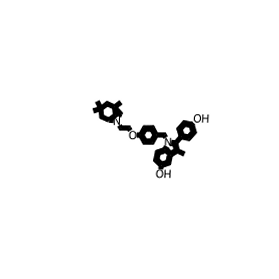 Cc1c(-c2ccc(O)cc2)n(Cc2ccc(OCCN3CC4(C)CC3CC(C)(C)C4)cc2)c2ccc(O)cc12